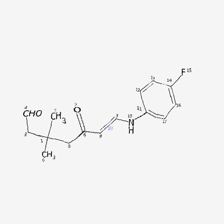 CC(C)(CC=O)CC(=O)/C=C/Nc1ccc(F)cc1